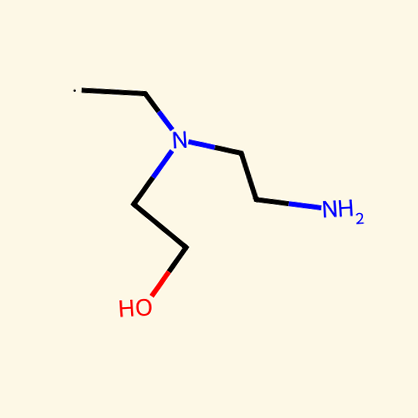 [CH2]CN(CCN)CCO